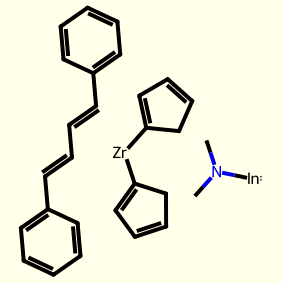 C(C=Cc1ccccc1)=Cc1ccccc1.C1=CC[C]([Zr][C]2=CC=CC2)=C1.C[N](C)[In]